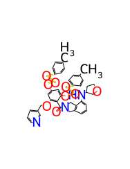 Cc1ccc(S(=O)(=O)Oc2cc(OCc3cccnc3)c(C(=O)N3Cc4cccc(NC5CCOC5)c4C3)c(OS(=O)(=O)c3ccc(C)cc3)c2)cc1